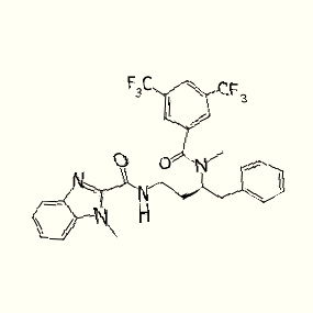 CN(C(=O)c1cc(C(F)(F)F)cc(C(F)(F)F)c1)[C@H](CCNC(=O)c1nc2ccccc2n1C)Cc1ccccc1